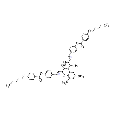 Nc1cc(N)cc(C(C(O)C(=O)/C=C/c2ccc(OC(=O)c3ccc(OCCCCC(F)(F)F)cc3)cc2)C(O)C(=O)/C=C/c2ccc(OC(=O)c3ccc(OCCCCC(F)(F)F)cc3)cc2)c1